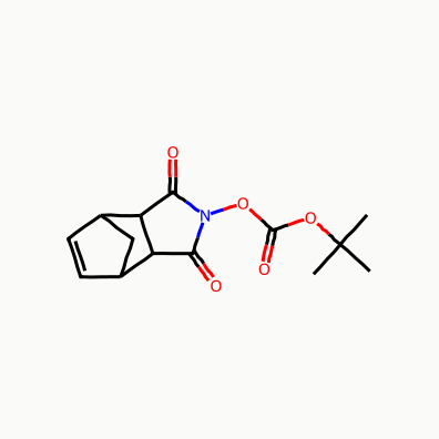 CC(C)(C)OC(=O)ON1C(=O)C2C3C=CC(C3)C2C1=O